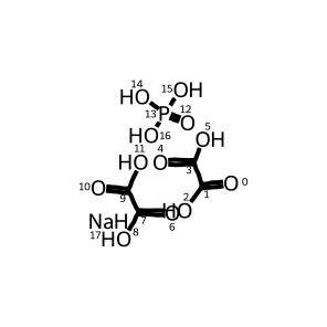 O=C(O)C(=O)O.O=C(O)C(=O)O.O=P(O)(O)O.[NaH]